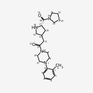 Cc1ccccc1N1CCN(C(=O)CC2CN[C@H](C(=O)N3CCSC3)C2)CC1